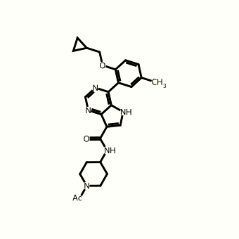 CC(=O)N1CCC(NC(=O)c2c[nH]c3c(-c4cc(C)ccc4OCC4CC4)ncnc23)CC1